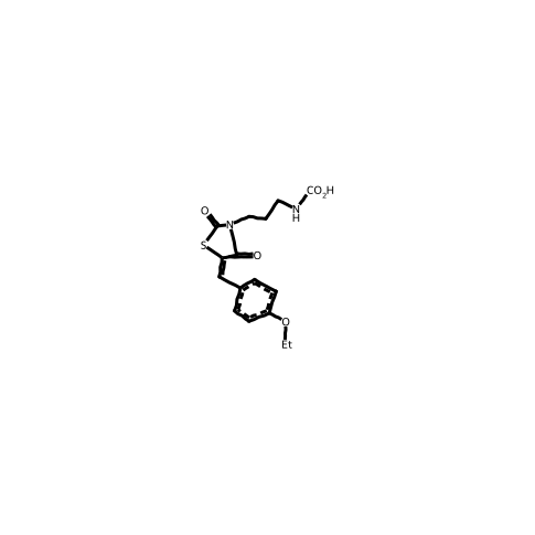 CCOc1ccc(C=C2SC(=O)N(CCCNC(=O)O)C2=O)cc1